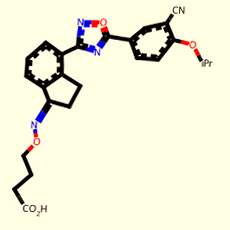 CC(C)Oc1ccc(-c2nc(-c3cccc4c3CCC4=NOCCCC(=O)O)no2)cc1C#N